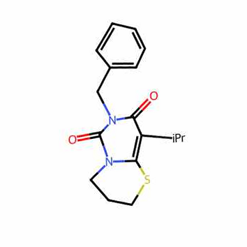 CC(C)c1c2n(c(=O)n(Cc3ccccc3)c1=O)CCCS2